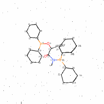 CN(C(=O)C(OP(C1CCCCC1)C1CCCCC1)C(C)(C)C)P(C1CCCCC1)C1CCCCC1